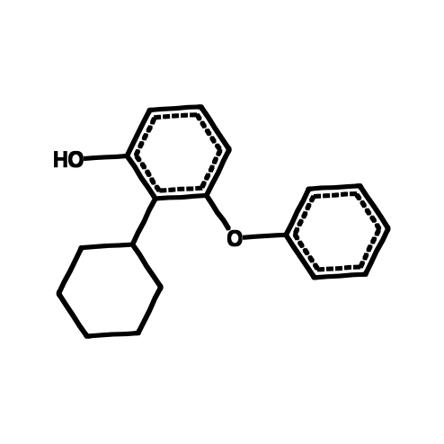 Oc1cccc(Oc2ccccc2)c1C1CCCCC1